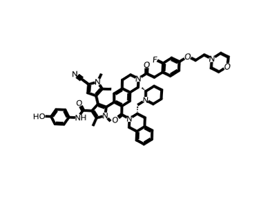 Cc1c(-c2c(C(=O)Nc3ccc(O)cc3)c(C)n(C)c2-c2cc3c(cc2C(=O)N2Cc4ccccc4C[C@H]2CN2CCCC[C@H]2C)CN(C(=O)Cc2ccc(OCCN4CCOCC4)cc2F)CC3)cc(C#N)n1C